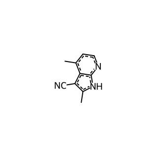 Cc1[nH]c2nccc(C)c2c1C#N